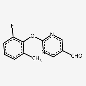 Cc1cccc(F)c1Oc1ncc(C=O)cn1